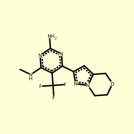 CNc1nc(N)nc(-c2cc3n(n2)CCOC3)c1C(F)(F)F